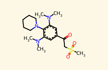 CN(C)c1cc(C(=O)CS(C)(=O)=O)cc(N(C)C)c1N1CCCCC1